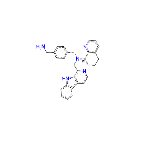 NCc1ccc(CN(Cc2nccc3c2[nH]c2ccccc23)[C@H]2CCCc3cccnc32)cc1